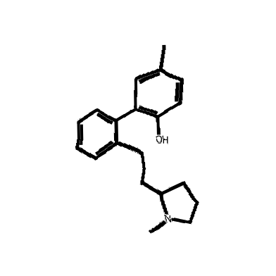 Cc1ccc(O)c(-c2ccccc2CCC2CCCN2C)c1